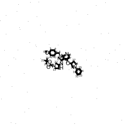 COc1ccc(Cn2nc(NC3CCN(C(=O)OC(C)(C)C)C3)c3c(OC4CCN(c5ccccc5)C4)ccnc32)cc1